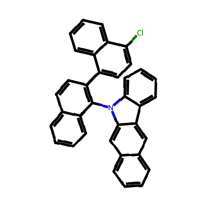 Clc1ccc(-c2ccc3ccccc3c2-n2c3ccccc3c3cc4ccccc4cc32)c2ccccc12